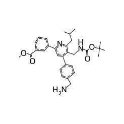 COC(=O)c1cccc(-c2cc(-c3ccc(CN)cc3)c(CNC(=O)OC(C)(C)C)c(CC(C)C)n2)c1